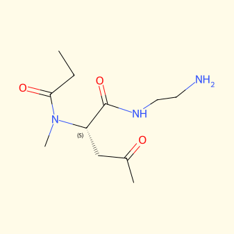 CCC(=O)N(C)[C@@H](CC(C)=O)C(=O)NCCN